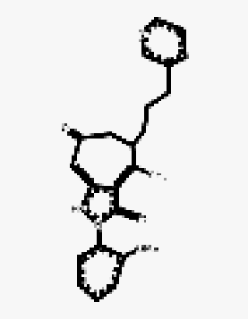 COc1ccccc1-n1[nH]c2c(c1=O)=C(C)C(CCCc1cccnc1)CC(=O)C=2